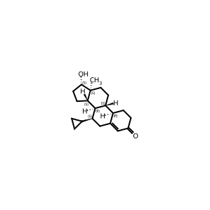 C[C@]12CC[C@H]3[C@@H]([C@H](C4CC4)CC4=CC(=O)CC[C@@H]43)[C@@H]1CC[C@@H]2O